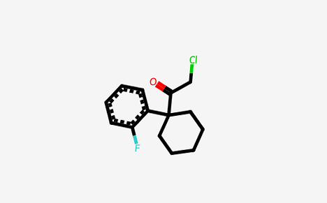 O=C(CCl)C1(c2ccccc2F)CCCCC1